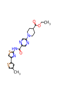 CCOC(=O)C1CCN(c2cnc(C(=O)Nc3nc(-c4cc(C)cs4)cs3)cn2)CC1